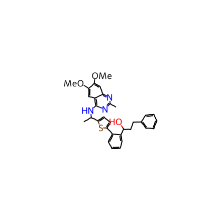 COc1cc2nc(C)nc(NC(C)c3ccc(-c4ccccc4C(O)CCc4ccccc4)s3)c2cc1OC